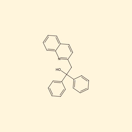 OC(Cc1ccc2ccccc2n1)(c1ccccc1)c1ccccc1